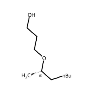 CCCCC[C@H](C)OCCCO